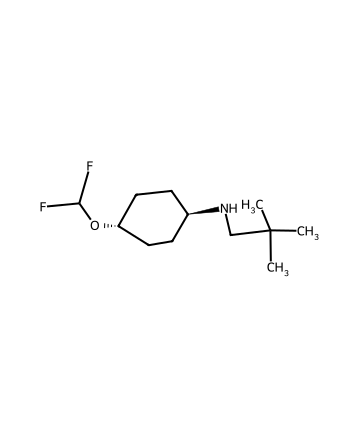 CC(C)(C)CN[C@H]1CC[C@H](OC(F)F)CC1